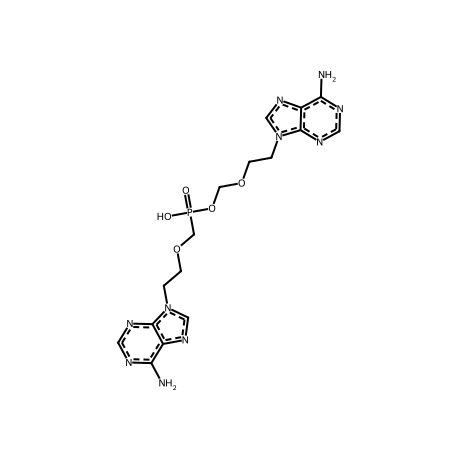 Nc1ncnc2c1ncn2CCOCOP(=O)(O)COCCn1cnc2c(N)ncnc21